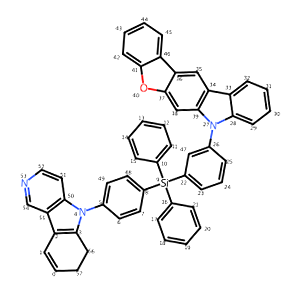 C1=Cc2c(n(-c3ccc([Si](c4ccccc4)(c4ccccc4)c4cccc(-n5c6ccccc6c6cc7c(cc65)oc5ccccc57)c4)cc3)c3ccncc23)CC1